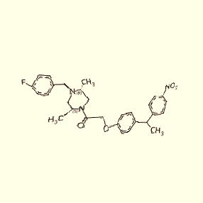 CC(c1ccc(OCC(=O)N2C[C@@H](C)N(Cc3ccc(F)cc3)C[C@@H]2C)cc1)c1ccc([N+](=O)[O-])cc1